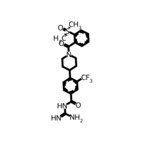 C=S(C)(=O)c1ccccc1C(=O)N1CCC(c2ccc(C(=O)NC(=N)N)cc2C(F)(F)F)CC1